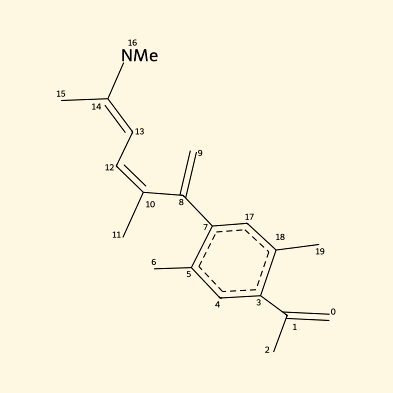 C=C(C)c1cc(C)c(C(=C)/C(C)=C\C=C(/C)NC)cc1C